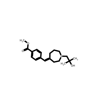 COC(=O)c1ccc(/C=C2\CCCN(CC(C)(C)O)CC2)cc1